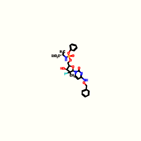 CCOC(=O)[C@H](C)NP(=O)(OCC1O[C@@H](n2ccc(NOCc3ccccc3)nc2=O)C(C)(F)[C@H]1O)Oc1ccccc1